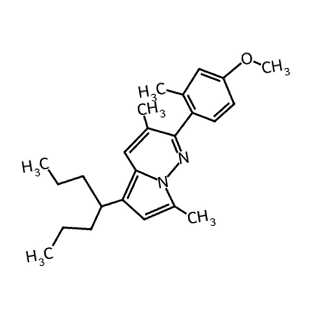 CCCC(CCC)c1cc(C)n2nc(-c3ccc(OC)cc3C)c(C)cc12